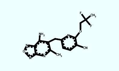 Cc1nc2nonc2c(N)c1Cc1ccc(C#N)c(OCC(C)(F)F)n1